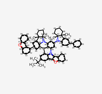 CC(C)(C)c1cc2c3c(c1)c1oc4ccccc4c1n3-c1cc(N3c4ccc(-c5ccccc5)cc4C4(C)CCCCC34C)cc3c1B2c1cc(-c2cccc4oc5ccccc5c24)cc2c1N3C1(C)CCCCC21C